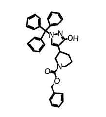 O=C(OCc1ccccc1)N1CCCC(c2cn(C(c3ccccc3)(c3ccccc3)c3ccccc3)nc2O)C1